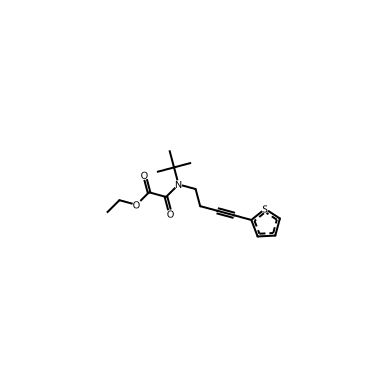 CCOC(=O)C(=O)N(CCC#Cc1cccs1)C(C)(C)C